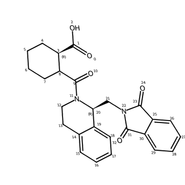 O=C(O)[C@@H]1CCCCC1C(=O)N1CCc2ccccc2[C@@H]1CN1C(=O)c2ccccc2C1=O